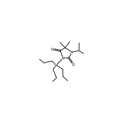 CCC[Si](CCC)(CCC)N1C(=O)N(C(C)C)C(C)(C)C1=O